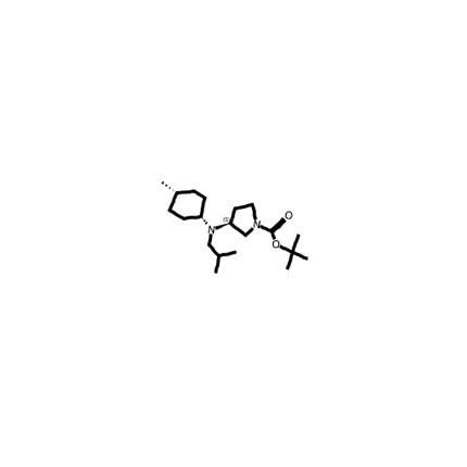 CC(C)CN([C@H]1CCN(C(=O)OC(C)(C)C)C1)[C@H]1CC[C@@H](C)CC1